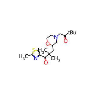 Cc1nc(C(=O)C(C)(C)CC2CN(CC(=O)C(C)(C)C)CCO2)cs1